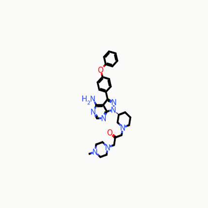 CN1CCN(CC(=O)CN2CCC[C@@H](n3nc(-c4ccc(Oc5ccccc5)cc4)c4c(N)ncnc43)C2)CC1